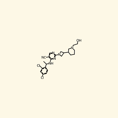 CC(Nc1nc(N2CC(C3CCCN(CCO)C3)C2)ncc1C#N)c1ccc(Cl)cc1Cl